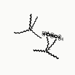 CCCCCCCCCC[N+](CCCCCCCCCC)(CCCCCCCCCC)CCCCCCCCCC.CCCCCCCCCC[N+](CCCCCCCCCC)(CCCCCCCCCC)CCCCCCCCCC.O=C(O)c1ccc(S(=O)(=O)c2ccc(C(=O)O)cc2)cc1